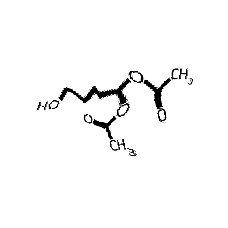 CC(=O)OC(CCCO)OC(C)=O